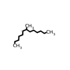 CCCCC[CH]C(C)CCCCCC